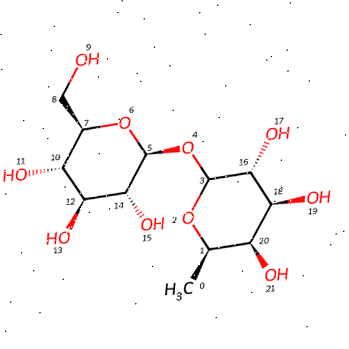 C[C@H]1OC(O[C@@H]2O[C@H](CO)[C@@H](O)[C@H](O)[C@H]2O)[C@H](O)[C@@H](O)[C@H]1O